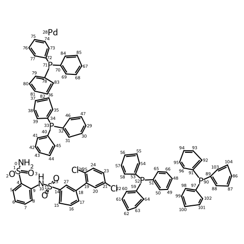 NS(=O)(=O)c1ccccc1NS(=O)(=O)c1cccc(-c2cc(Cl)ccc2Cl)c1.[Pd].c1ccc(P(c2ccccc2)c2ccccc2)cc1.c1ccc(P(c2ccccc2)c2ccccc2)cc1.c1ccc(P(c2ccccc2)c2ccccc2)cc1.c1ccc(P(c2ccccc2)c2ccccc2)cc1